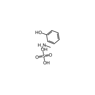 CN.O=S(=O)(O)O.Oc1ccccc1